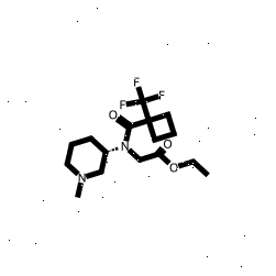 CCOC(=O)CN(C(=O)C1(C(F)(F)F)CCC1)[C@H]1CCCN(C)C1